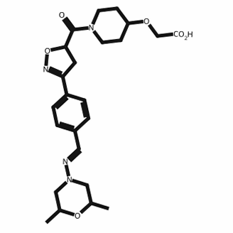 CC1CN(N=Cc2ccc(C3=NOC(C(=O)N4CCC(OCC(=O)O)CC4)C3)cc2)CC(C)O1